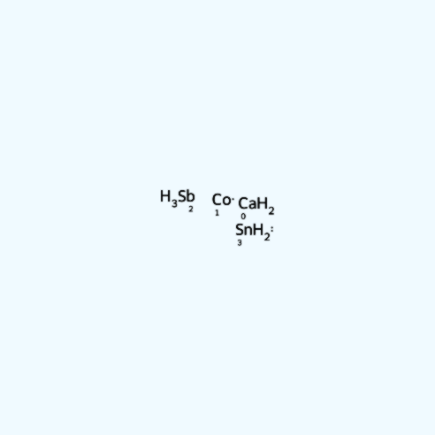 [CaH2].[Co].[SbH3].[SnH2]